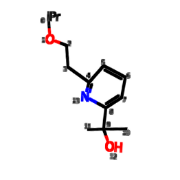 CC(C)OCCc1cccc(C(C)(C)O)n1